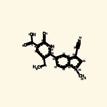 CCc1cc(C(=O)O)c(=O)[nH]c1-c1ccc2c(c1)c(C#N)cn2C